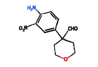 Nc1ccc(C2(C=O)CCOCC2)cc1[N+](=O)[O-]